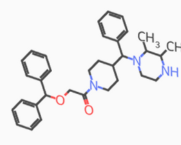 CC1NCCN(C(c2ccccc2)C2CCN(C(=O)COC(c3ccccc3)c3ccccc3)CC2)C1C